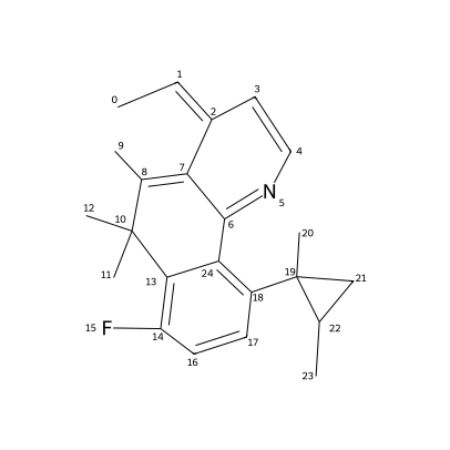 C/C=c1/ccnc2c1=C(C)C(C)(C)c1c(F)ccc(C3(C)CC3C)c1-2